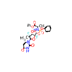 CC(C)OC(=O)[C@H](C)NP(=O)(OC[C@@]1(F)OC(n2ccc(=O)[nH]c2=O)[C@](C)(F)[C@@H]1O)Oc1ccccc1